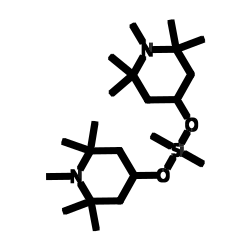 CN1C(C)(C)CC(O[Si](C)(C)OC2CC(C)(C)N(C)C(C)(C)C2)CC1(C)C